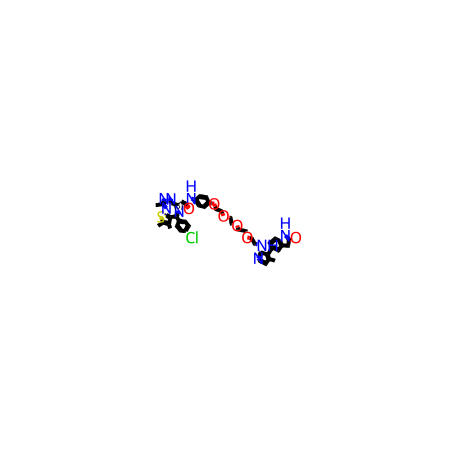 Cc1ccnc(NCCOCCOCCOCCOc2ccc(NC(=O)C[C@@H]3N=C(c4ccc(Cl)cc4)c4c(sc(C)c4C)-n4c(C)nnc43)cc2)c1-c1ccc2c(c1)CC(=O)N2